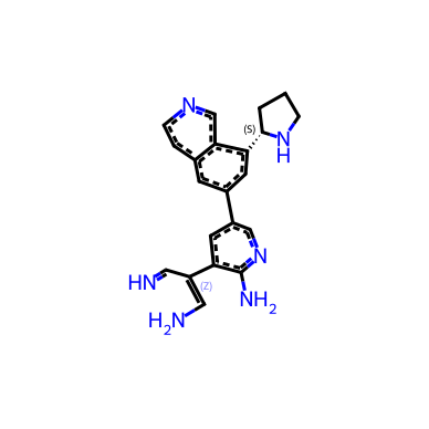 N=C/C(=C\N)c1cc(-c2cc([C@@H]3CCCN3)c3cnccc3c2)cnc1N